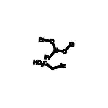 CC(=O)CC(=O)O.CC[O][Al]([O]CC)[CH](C)C